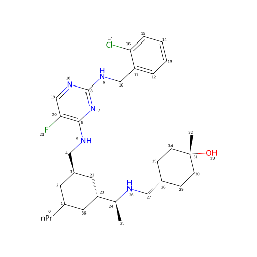 CCCC1C[C@@H](CNc2nc(NCc3ccccc3Cl)ncc2F)C[C@H]([C@H](C)NC[C@H]2CC[C@@](C)(O)CC2)C1